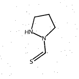 S=[C]N1CCCN1